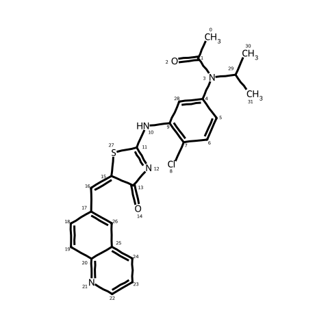 CC(=O)N(c1ccc(Cl)c(NC2=NC(=O)C(=Cc3ccc4ncccc4c3)S2)c1)C(C)C